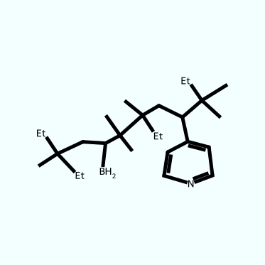 BC(CC(C)(CC)CC)C(C)(C)C(C)(CC)CC(c1ccncc1)C(C)(C)CC